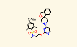 COc1cc(C)c(S(=O)(=O)N(C)CCOc2nccc(N3CCC4(CC3)OCc3ccccc34)n2)c(C)c1